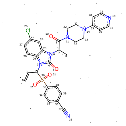 C=CC(n1c(=O)n(C(C)C(=O)N2CCN(c3ccncc3)CC2)c2cc(Cl)ccc21)S(=O)(=O)c1ccc(C#N)cc1